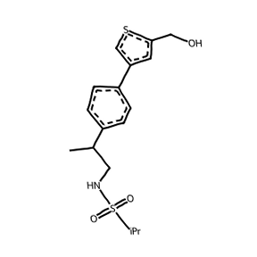 CC(CNS(=O)(=O)C(C)C)c1ccc(-c2csc(CO)c2)cc1